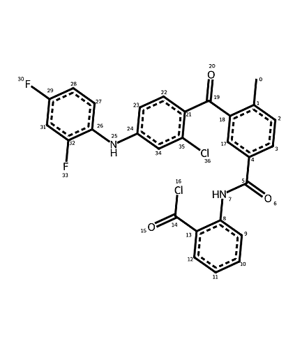 Cc1ccc(C(=O)Nc2ccccc2C(=O)Cl)cc1C(=O)c1ccc(Nc2ccc(F)cc2F)cc1Cl